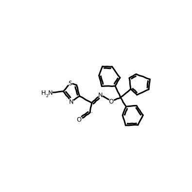 Nc1nc(/C([C]=O)=N/OC(c2ccccc2)(c2ccccc2)c2ccccc2)cs1